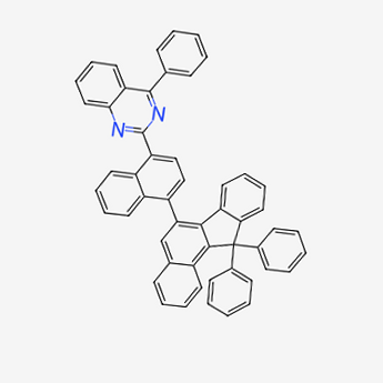 c1ccc(-c2nc(-c3ccc(-c4cc5ccccc5c5c4-c4ccccc4C5(c4ccccc4)c4ccccc4)c4ccccc34)nc3ccccc23)cc1